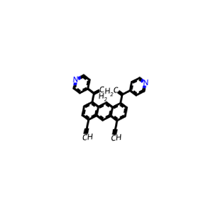 C#Cc1ccc(C(=C)c2ccncc2)c2cc3c(C(=C)c4ccncc4)ccc(C#C)c3cc12